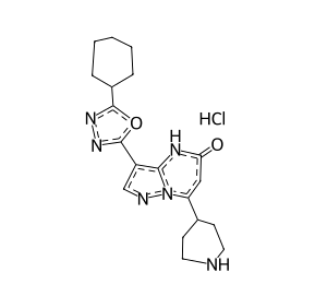 Cl.O=c1cc(C2CCNCC2)n2ncc(-c3nnc(C4CCCCC4)o3)c2[nH]1